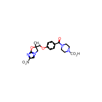 CC1(COc2ccc(C(=O)N3CCN(C(=O)O)CC3)cc2)Cn2cc([N+](=O)[O-])nc2O1